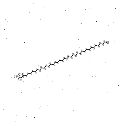 C[Si](C)(Cl)CCCCCCCCCCCCCCCCCCCCCCCCCCCCCCCCCCCCCCCl